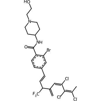 C=C(/C=C(Cl)\C(Cl)=C(/C)Cl)C(/C=C/c1ccc(C(=O)NC2CCN(CCO)CC2)c(Br)c1)C(F)(F)F